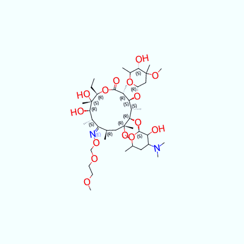 CC[C@H]1OC(=O)[C@H](C)[C@@H](O[C@H]2CC(C)(OC)[C@@H](O)C(C)O2)[C@H](C)[C@@H](O[C@@H]2OC(C)CC(N(C)C)C2O)[C@](C)(OC)C[C@@H](C)/C(=N\OCOCCOC)[C@H](C)[C@@H](O)[C@]1(C)O